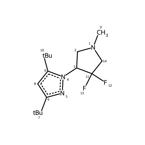 CN1CC(n2nc(C(C)(C)C)cc2C(C)(C)C)C(F)(F)C1